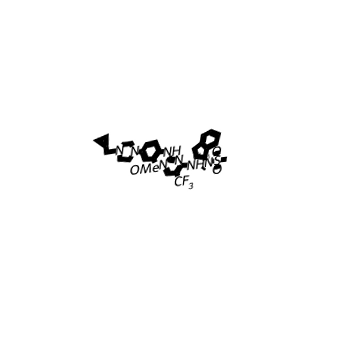 COc1cc(N2CCN(CC3CC3)CC2)ccc1Nc1ncc(C(F)(F)F)c(N[C@@H]2Cc3ccccc3[C@H]2N(C)S(C)(=O)=O)n1